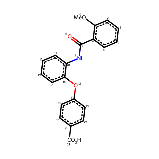 COc1ccccc1C(=O)Nc1ccccc1Oc1ccc(C(=O)O)cc1